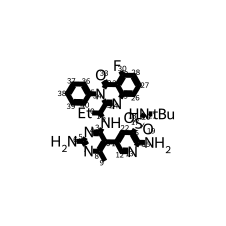 CCC(Nc1nc(N)nc(C)c1-c1cnc(N)c(S(=O)(=O)NC(C)(C)C)c1)c1nc2cccc(F)c2c(=O)n1-c1ccccc1